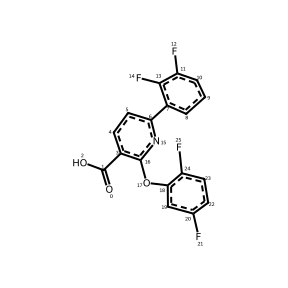 O=C(O)c1ccc(-c2cccc(F)c2F)nc1Oc1cc(F)ccc1F